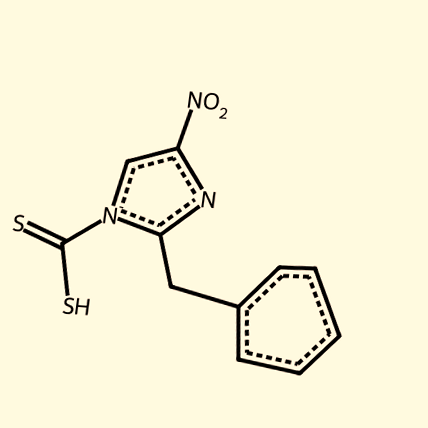 O=[N+]([O-])c1cn(C(=S)S)c(Cc2ccccc2)n1